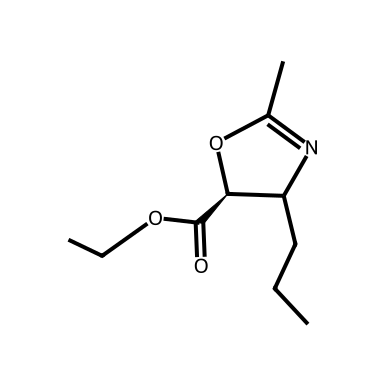 CCCC1N=C(C)O[C@@H]1C(=O)OCC